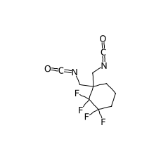 O=C=NCC1(CN=C=O)CCCC(F)(F)C1(F)F